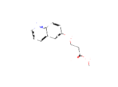 COC(=O)CCOc1ccc2ncccc2c1